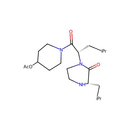 CC(=O)OC1CCN(C(=O)[C@H](CC(C)C)N2CCN[C@@H](CC(C)C)C2=O)CC1